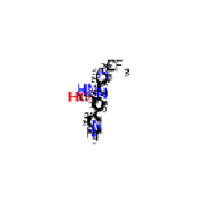 Cc1cn2cc(-c3ccc4c(c3)=C(O)NC(C3CCN(CC(F)(F)F)CC3)N=4)ccc2n1